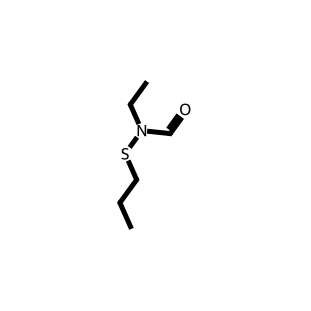 CCCSN(C=O)CC